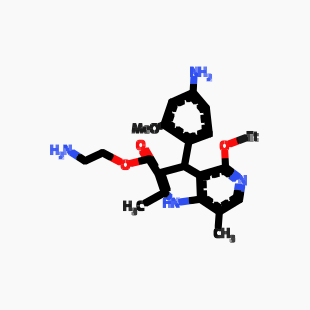 CCOc1ncc(C)c2c1C(c1ccc(N)cc1OC)C(C(=O)OCCN)=C(C)N2